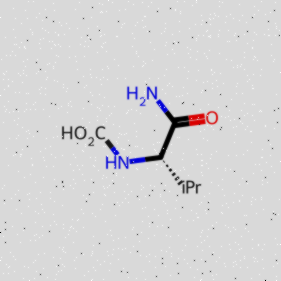 CC(C)[C@H](NC(=O)O)C(N)=O